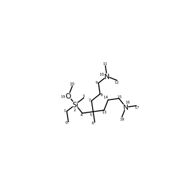 CC[Si](C)(CC(C)(CCCN(C)C)CCCN(C)C)OC